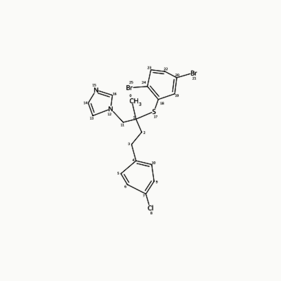 CC(CCc1ccc(Cl)cc1)(Cn1ccnc1)Sc1cc(Br)ccc1Br